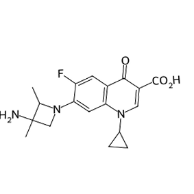 CC1N(c2cc3c(cc2F)c(=O)c(C(=O)O)cn3C2CC2)CC1(C)N